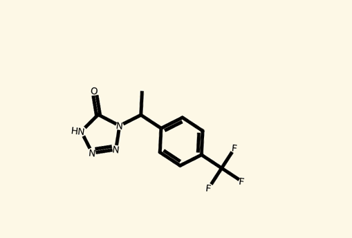 CC(c1ccc(C(F)(F)F)cc1)n1nn[nH]c1=O